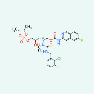 CCOP(=O)(OCC)OCC(O)C[C@H](COC(=O)Nc1cc2cc(F)ccc2cn1)N(C)C(=O)NCc1cccc(F)c1Cl